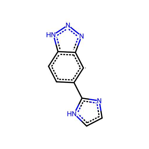 [c]1c(-c2ncc[nH]2)ccc2[nH]nnc12